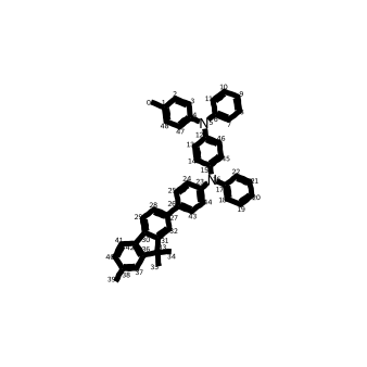 Cc1ccc(N(c2ccccc2)c2ccc(N(c3ccccc3)c3ccc(-c4ccc5c(c4)C(C)(C)c4cc(C)ccc4-5)cc3)cc2)cc1